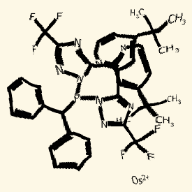 CC(C)(C)c1ccnc(-c2nc(C(F)(F)F)nn2P(C(c2ccccc2)c2ccccc2)n2nc(C(F)(F)F)nc2-c2cc(C(C)(C)C)ccn2)c1.[Os+2]